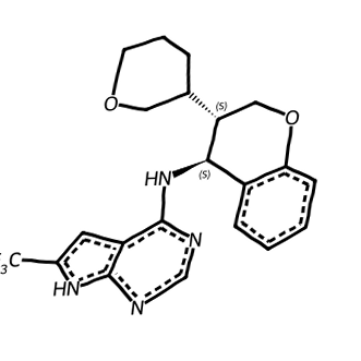 FC(F)(F)c1cc2c(N[C@@H]3c4ccccc4OC[C@H]3C3CCCOC3)ncnc2[nH]1